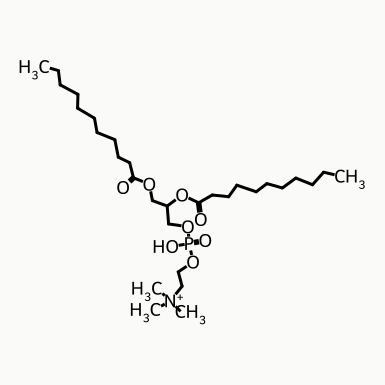 CCCCCCCCCCC(=O)OCC(COP(=O)(O)OCC[N+](C)(C)C)OC(=O)CCCCCCCCCC